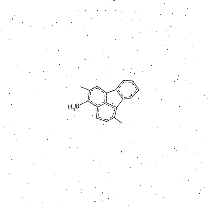 Bc1c(C)cc2c3c(c(C)ccc13)-c1ccccc1-2